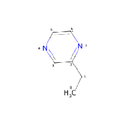 CCc1cnc[c]n1